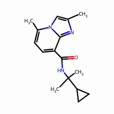 Cc1cn2c(C)ccc(C(=O)NC(C)(C)C3CC3)c2n1